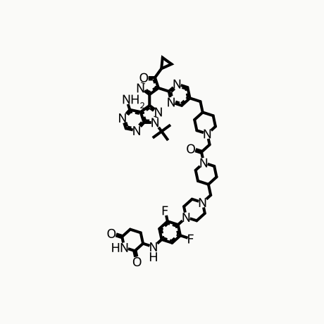 CC(C)(C)n1nc(-c2noc(C3CC3)c2-c2ncc(CC3CCN(CC(=O)N4CCC(CN5CCN(c6c(F)cc(NC7CCC(=O)NC7=O)cc6F)CC5)CC4)CC3)cn2)c2c(N)ncnc21